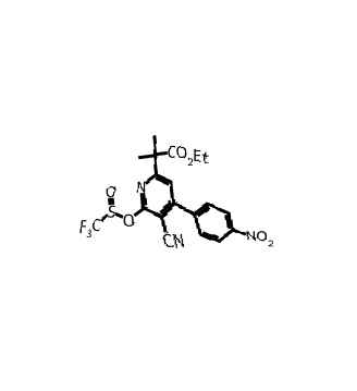 CCOC(=O)C(C)(C)c1cc(-c2ccc([N+](=O)[O-])cc2)c(C#N)c(OS(=O)C(F)(F)F)n1